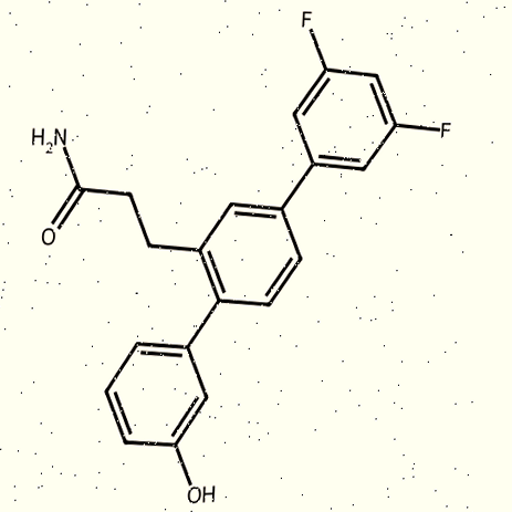 NC(=O)CCc1cc(-c2cc(F)cc(F)c2)ccc1-c1cccc(O)c1